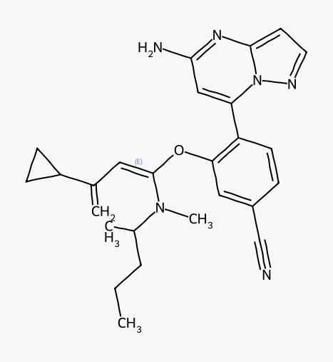 C=C(/C=C(/Oc1cc(C#N)ccc1-c1cc(N)nc2ccnn12)N(C)C(C)CCC)C1CC1